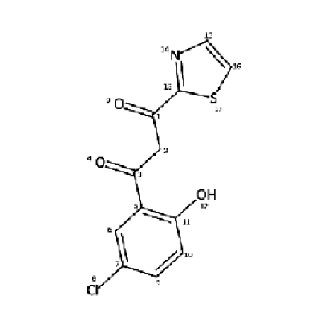 O=C(CC(=O)c1cc(Cl)ccc1O)c1nccs1